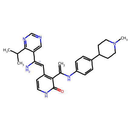 C=C(Nc1ccc(C2CCN(C)CC2)cc1)c1c(/C=C(\N)c2cncnc2C(C)C)cc[nH]c1=O